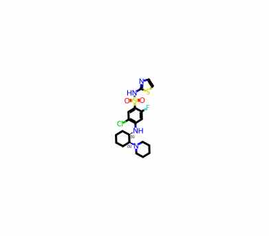 O=S(=O)(Nc1nccs1)c1cc(Cl)c(N[C@H]2CCCC[C@@H]2N2CCCCC2)cc1F